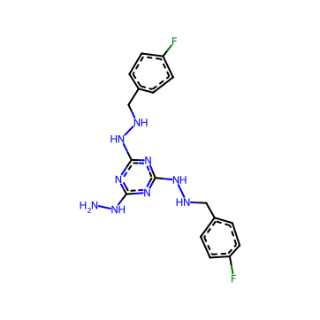 NNc1nc(NNCc2ccc(F)cc2)nc(NNCc2ccc(F)cc2)n1